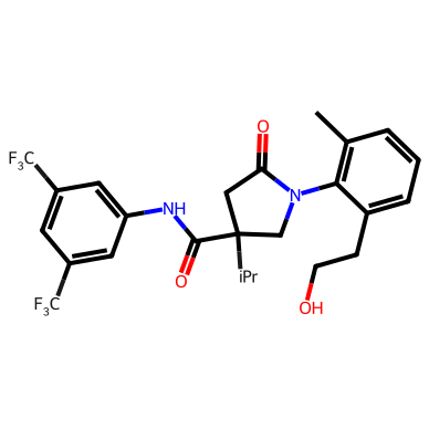 Cc1cccc(CCO)c1N1CC(C(=O)Nc2cc(C(F)(F)F)cc(C(F)(F)F)c2)(C(C)C)CC1=O